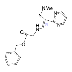 CNS/C(=C\NCC(=O)OCc1ccccc1)c1ncccn1